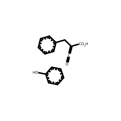 O=C=C(Cc1ccccc1)C(=O)O.Oc1ccccc1